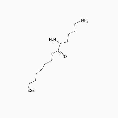 CCCCCCCCCCCCCCCCOC(=O)C(N)CCCCN